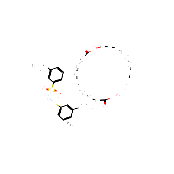 O=C(O)c1cccc(S(=O)(=O)[N-]S(=O)(=O)c2cccc(C(=O)O)c2)c1.O=C1CCCCCCCCC(=O)OCCCCCCCCCCO1.[Na+]